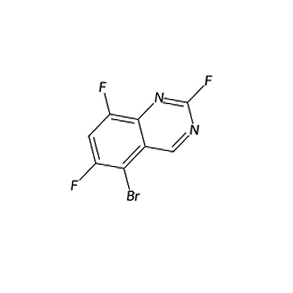 Fc1ncc2c(Br)c(F)cc(F)c2n1